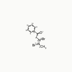 CN(Br)N(Br)CC(=O)c1ccccc1